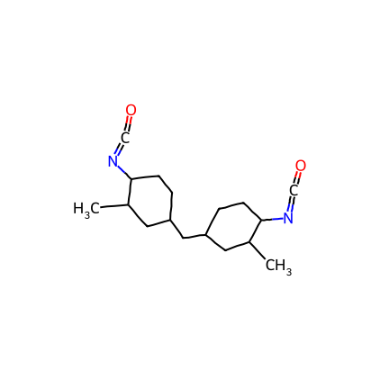 CC1CC(CC2CCC(N=C=O)C(C)C2)CCC1N=C=O